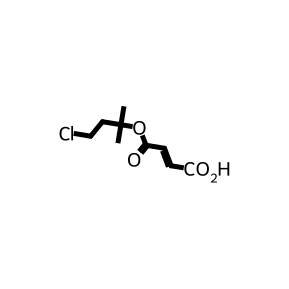 CC(C)(CCCl)OC(=O)/C=C/C(=O)O